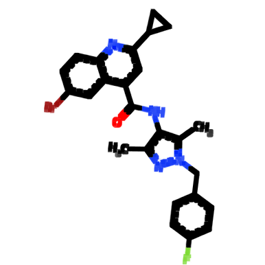 Cc1nn(Cc2ccc(F)cc2)c(C)c1NC(=O)c1cc(C2CC2)nc2ccc(Br)cc12